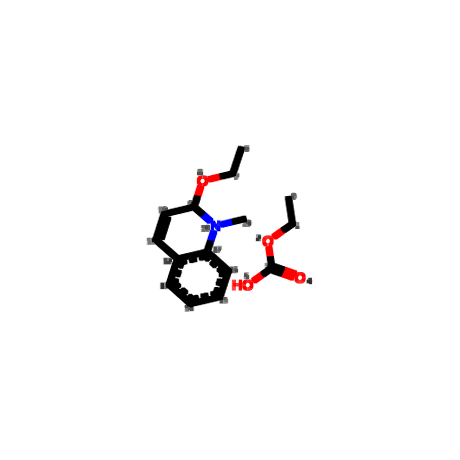 CCOC(=O)O.CCOC1C=Cc2ccccc2N1C